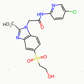 O=C(Cn1c(C(=O)O)nc2cc(S(=O)(=O)CCO)ccc21)Nc1ccc(Cl)cn1